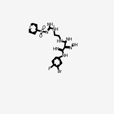 N=C(NCCN/C(N)=N/S(=O)(=O)c1ccccc1)/C(=N\O)C(=N)Nc1ccc(F)c(Br)c1